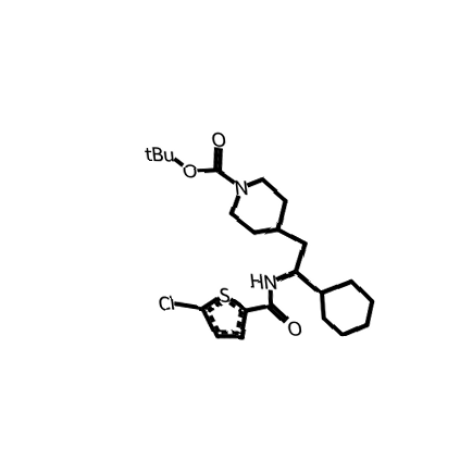 CC(C)(C)OC(=O)N1CCC(CC(NC(=O)c2ccc(Cl)s2)C2CCCCC2)CC1